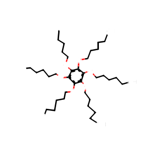 CCCCCCOc1c(OCCCCCC)c(OCCCCCC)c(OCCCCCC)c(OCCCCCC)c1OCCCCCC